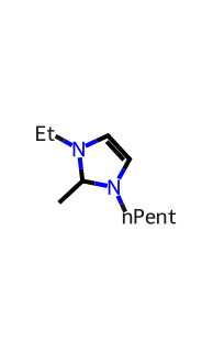 CCCCCN1C=CN(CC)C1C